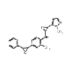 Cc1cc(C2OC2c2ccccc2)ccc1NC1OC1c1ccnn1C